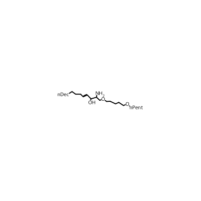 CCCCCCCCCCCCCC=CC(O)C(N)COCCCCCOCCCCC